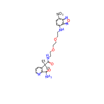 CCC(CC)(C(=O)NCCOCCOCCNc1ccc([N+](=O)[O-])c2nonc12)c1cccnc1C(N)=O